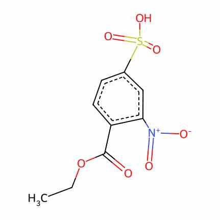 CCOC(=O)c1ccc(S(=O)(=O)O)cc1[N+](=O)[O-]